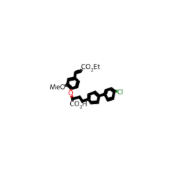 CCOC(=O)/C=C/c1ccc(OC(CCc2ccc(-c3ccc(Cl)cc3)cc2)C(=O)O)c(OC)c1